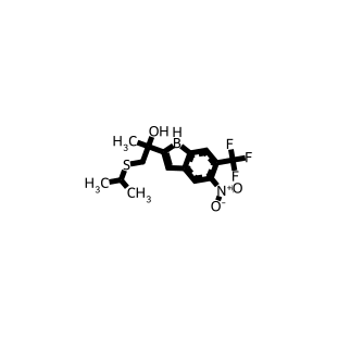 CC(C)SCC(C)(O)C1=Cc2cc([N+](=O)[O-])c(C(F)(F)F)cc2B1